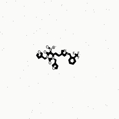 O=c1c([N+](=O)[O-])c(C=Cc2cnn(Cc3ccccc3C(F)(F)F)c2)n(Cc2ccoc2)c(=O)n1Cc1ccoc1